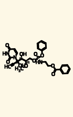 C#C[C@@](O)([C@H](O)[C@@H](COP(=O)(NCCOC(=O)c1ccccc1)Oc1ccccc1)OC)n1ccc(=O)[nH]c1=O